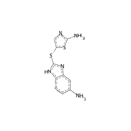 Nc1ccc2[nH]c(Sc3cnc(N)s3)nc2c1